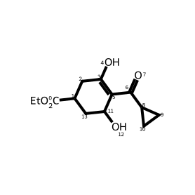 CCOC(=O)C1CC(O)=C(C(=O)C2CC2)C(O)C1